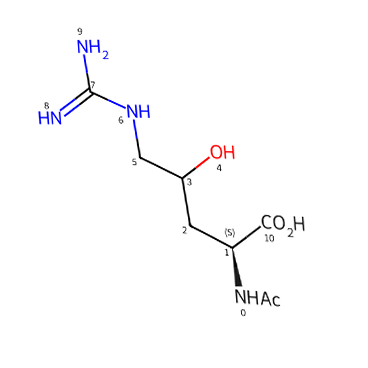 CC(=O)N[C@@H](CC(O)CNC(=N)N)C(=O)O